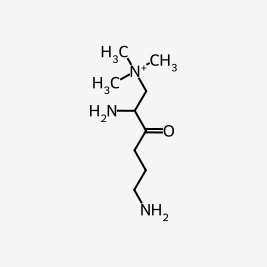 C[N+](C)(C)CC(N)C(=O)CCCN